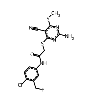 CSc1nc(N)nc(SCC(=O)Nc2ccc(Cl)c(CF)c2)c1C#N